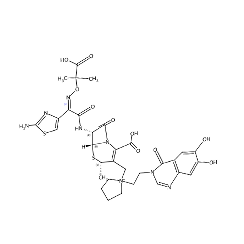 C[C@@H]1S[C@@H]2[C@H](NC(=O)/C(=N\OC(C)(C)C(=O)O)c3csc(N)n3)C(=O)N2C(C(=O)O)=C1C[N+]1(CCn2cnc3cc(O)c(O)cc3c2=O)CCCC1